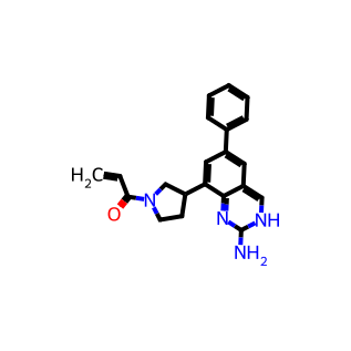 C=CC(=O)N1CCC(c2cc(-c3ccccc3)cc3c2=NC(N)NC=3)C1